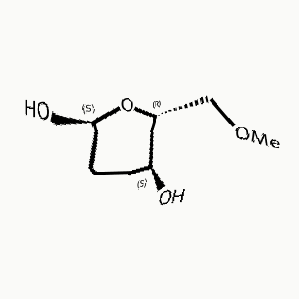 COC[C@H]1O[C@H](O)C[C@@H]1O